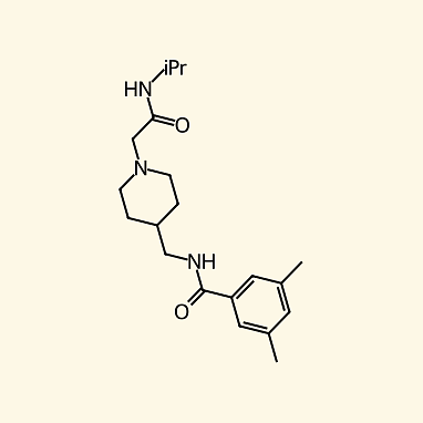 Cc1cc(C)cc(C(=O)NCC2CCN(CC(=O)NC(C)C)CC2)c1